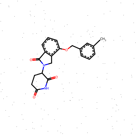 Cc1cccc(COc2cccc3c2CN(C2CCC(=O)NC2=O)C3=O)c1